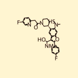 CNC(O)c1c(-c2ccc(F)cc2)oc2cc(N(C)S)c([C@@H]3CCCN(C(=O)Cc4ccc(F)cn4)C3)cc12